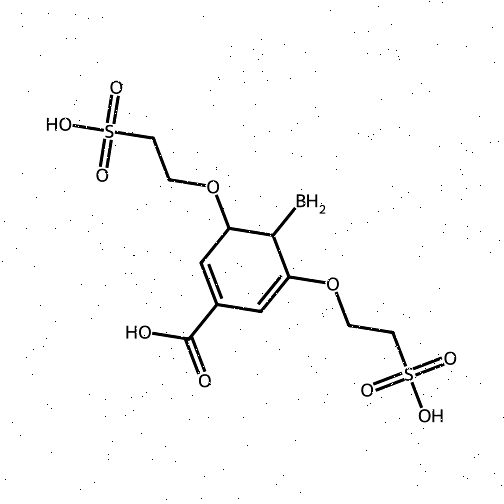 BC1C(OCCS(=O)(=O)O)=CC(C(=O)O)=CC1OCCS(=O)(=O)O